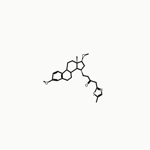 COc1ccc2c(c1)CCC1C2CC[C@@]2(C)C1[C@H](CCC(=O)Cc1ncc(C)s1)C[C@@H]2OC